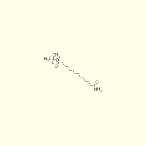 CC(C)(C)OC(=O)CCCCCCCCCCCCC(N)=O